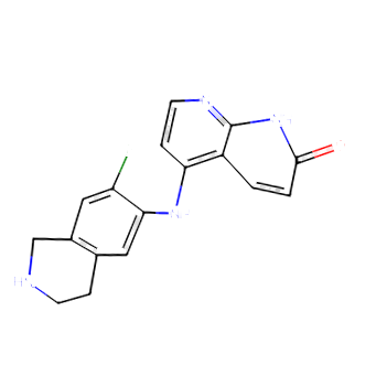 O=c1ccc2c(Nc3cc4c(cc3F)CNCC4)ccnc2[nH]1